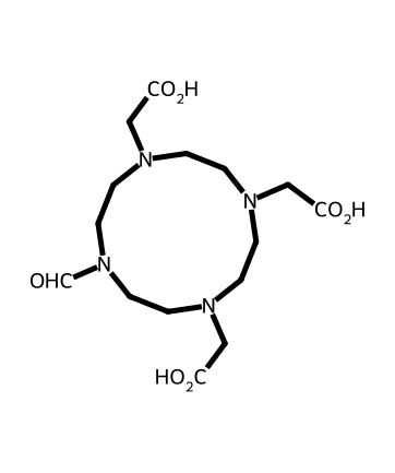 O=CN1CCN(CC(=O)O)CCN(CC(=O)O)CCN(CC(=O)O)CC1